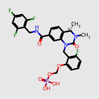 C[C@H]1c2ccc(C(=O)NCc3c(F)cc(F)cc3F)cc2N(Cc2c(F)cccc2OCOP(=O)(O)O)C(=O)N1C